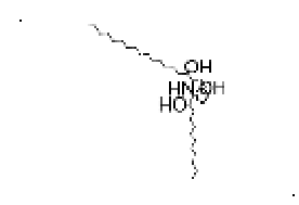 CCCCCCCCCCCCCCCC(O)C(CO)NC(=O)C(O)CCCCCCCCCC